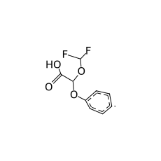 O=C(O)C(Oc1cc[c]cc1)OC(F)F